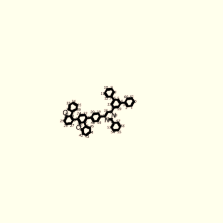 c1ccc(-c2cc(-c3ccccc3)cc(-c3cc(-c4ccc(-c5ccc(-c6cccc7oc8ccccc8c67)c6oc7ccccc7c56)cc4)nc(-c4ccccc4)n3)c2)cc1